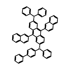 c1ccc(-c2ccc(N(c3ccccc3)c3ccc4c(-c5ccc6ccccc6c5)c5cc(N(c6ccccc6)c6ccccc6)ccc5c(-c5ccc6ccccc6c5)c4c3)cc2)cc1